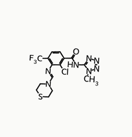 Cn1nnnc1NC(=O)c1ccc(C(F)(F)F)c(/N=C/N2CCSCC2)c1Cl